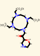 CCOC(=O)CN1CCN(CC(=O)OCC)CCN(CC(=O)C2CNCCO2)CCN(CC(=O)OCC)CC1